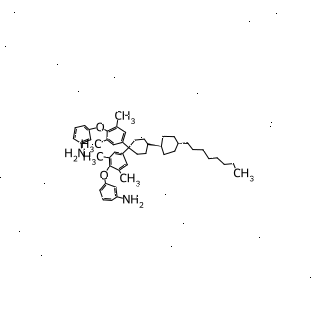 CCCCCCCC[C@H]1CC[C@@H](C2CCC(c3cc(C)c(Oc4cccc(N)c4)c(C)c3)(c3cc(C)c(Oc4cccc(N)c4)c(C)c3)CC2)CC1